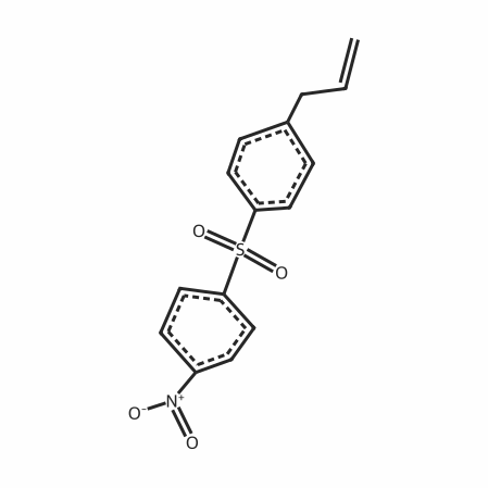 C=CCc1ccc(S(=O)(=O)c2ccc([N+](=O)[O-])cc2)cc1